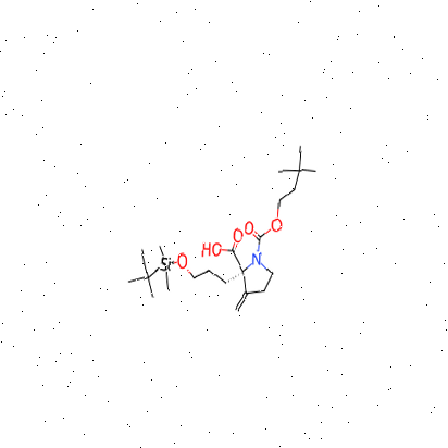 C=C1CCN(C(=O)OCCC(C)(C)C)[C@]1(CCCO[Si](C)(C)C(C)(C)C)C(=O)O